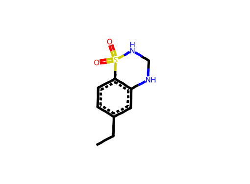 CCc1ccc2c(c1)NCNS2(=O)=O